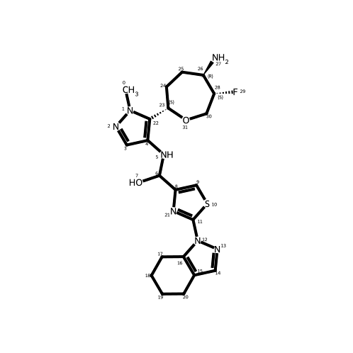 Cn1ncc(NC(O)c2csc(-n3ncc4c3CCCC4)n2)c1[C@@H]1CC[C@@H](N)[C@H](F)CO1